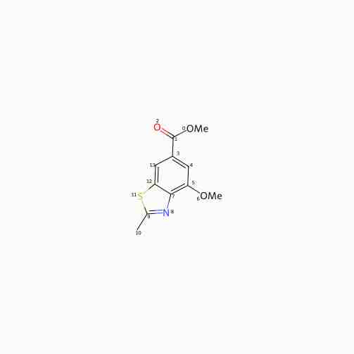 COC(=O)c1cc(OC)c2nc(C)sc2c1